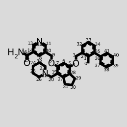 Cc1c(COc2cc(OCc3cncc(C(N)=O)c3)c(CN3CCCCC3)c3c2CCC3)cccc1-c1ccccc1